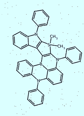 C[Si]1(C)C2=C(B3c4ccccc4N(c4ccccc4)c4cccc(c43)N2c2ccccc2)c2c1n(-c1ccccc1)c1ccccc21